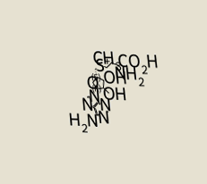 C[S+](CCC(N)C(=O)O)C[C@H]1O[C@@H](n2cnc3c(N)ncnc32)C(O)C1O